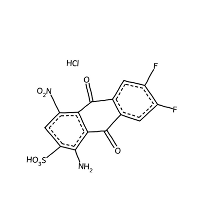 Cl.Nc1c(S(=O)(=O)O)cc([N+](=O)[O-])c2c1C(=O)c1cc(F)c(F)cc1C2=O